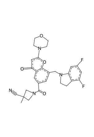 CC1(C#N)CN(C(=O)c2cc(CN3CCc4c(F)cc(F)cc43)c3oc(N4CCOCC4)cc(=O)c3c2)C1